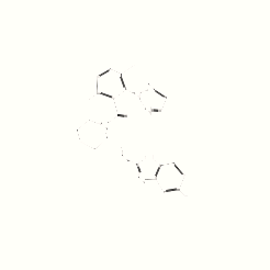 Cc1ccc(F)c(C(=O)N2CCC[C@@H](C)[C@H]2CNc2nc3cc(F)ccc3o2)c1-n1nccn1